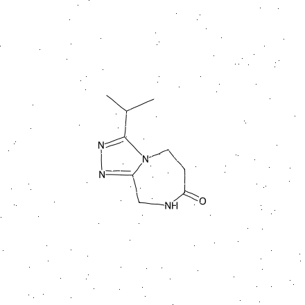 CC(C)c1nnc2n1CCC(=O)NC2